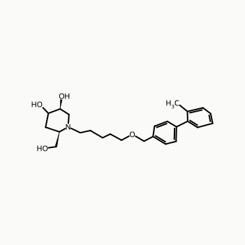 Cc1ccccc1-c1ccc(COCCCCCN2C[C@H](O)C(O)C[C@@H]2CO)cc1